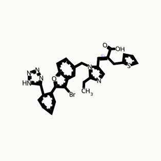 CCc1ncc(/C=C(\Cc2cccs2)C(=O)O)n1Cc1ccc2oc(-c3ccccc3-c3nnn[nH]3)c(Br)c2c1